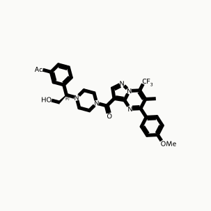 COc1ccc(-c2nc3c(C(=O)N4CCN([C@@H](CO)c5cccc(C(C)=O)c5)CC4)cnn3c(C(F)(F)F)c2C)cc1